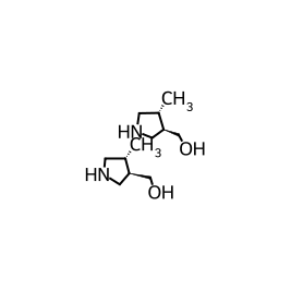 C[C@H]1CNC[C@@H]1CO.C[C@H]1CNC[C@@H]1CO